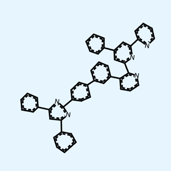 c1ccc(-c2cc(-c3ccccn3)nc(-c3ncccc3-c3cccc(-c4ccc(-c5nc(-c6ccccc6)cc(-c6ccccc6)n5)cc4)c3)c2)cc1